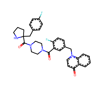 O=C(c1cc(Cn2ccc(=O)c3ccccc32)ccc1F)N1CCN(C(=O)C2(Cc3ccc(F)cc3)CCCN2)CC1